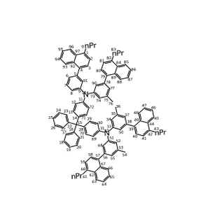 CCCc1ccc(-c2cccc(N(c3ccc(C(c4ccccc4)(c4ccccc4)c4ccc(N(c5cc(C)cc(-c6ccc(CCC)c7ccccc67)c5)c5cc(C)cc(-c6ccc(CCC)c7ccccc67)c5)cc4)cc3)c3cc(C)cc(-c4ccc(CCC)c5ccccc45)c3)c2)c2ccccc12